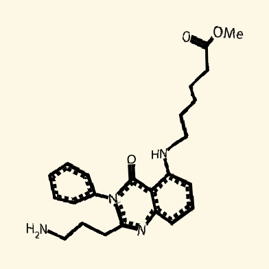 COC(=O)CCCCCNc1cccc2nc(CCCN)n(-c3ccccc3)c(=O)c12